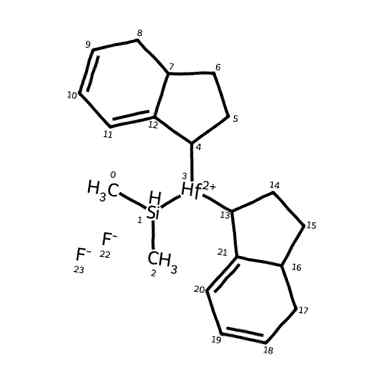 C[SiH](C)[Hf+2]([CH]1CCC2CC=CC=C21)[CH]1CCC2CC=CC=C21.[F-].[F-]